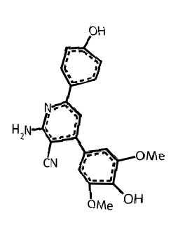 COc1cc(-c2cc(-c3ccc(O)cc3)nc(N)c2C#N)cc(OC)c1O